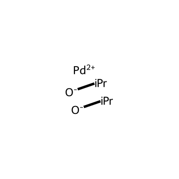 CC(C)[O-].CC(C)[O-].[Pd+2]